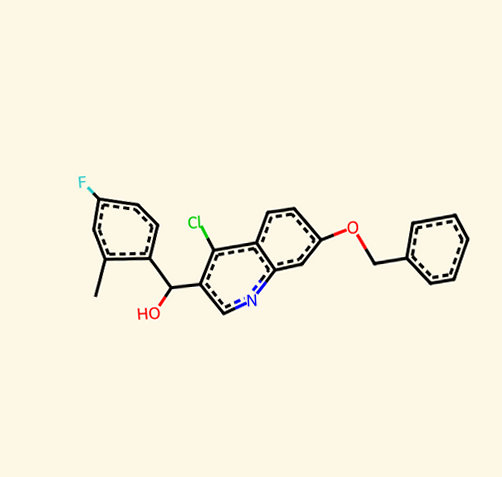 Cc1cc(F)ccc1C(O)c1cnc2cc(OCc3ccccc3)ccc2c1Cl